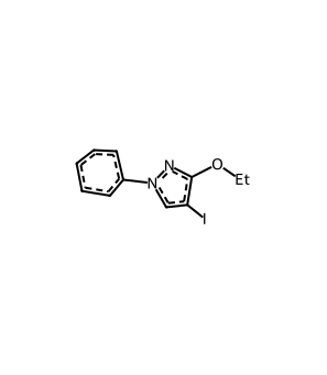 CCOc1nn(-c2ccccc2)cc1I